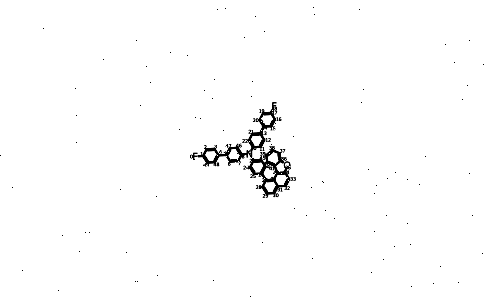 Fc1ccc(-c2ccc(N(c3ccc(-c4ccc(F)cc4)cc3)c3ccc(-c4cccc5ccc6oc7ccccc7c6c45)cc3)cc2)cc1